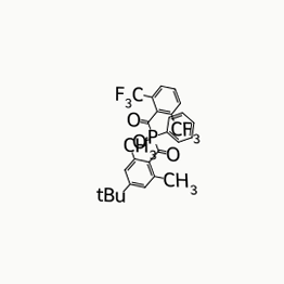 Cc1cc(C(C)(C)C)cc(C)c1C(=O)P(=O)(C(=O)c1c(C(F)(F)F)cccc1C(F)(F)F)c1ccccc1